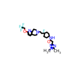 Cc1nc(CC(=O)N[C@H]2CC[C@](F)(CCN3CCc4ccc(OCC(F)(F)F)nc4CC3)CC2)nn1C